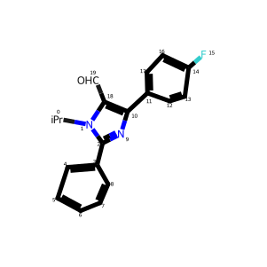 CC(C)n1c(-c2ccccc2)nc(-c2ccc(F)cc2)c1C=O